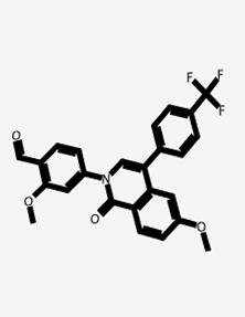 COc1ccc2c(=O)n(-c3ccc(C=O)c(OC)c3)cc(-c3ccc(C(F)(F)F)cc3)c2c1